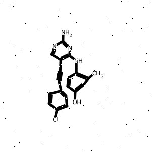 Cc1cc(O)ccc1Nc1nc(N)ncc1C#Cc1ccc(Cl)cc1